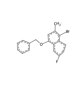 [CH2]c1cc(OCc2ccccc2)c2cc(F)ccc2c1Br